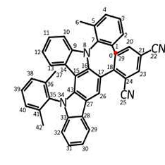 Cc1cccc(C)c1-n1c2ccccc2c2c1c(-c1ccc(C#N)cc1C#N)cc1c3ccccc3n(-c3c(C)cccc3C)c12